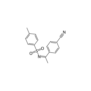 CC(=NS(=O)(=O)c1ccc(C)cc1)c1ccc(C#N)cc1